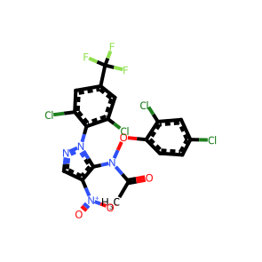 CC(=O)N(Oc1ccc(Cl)cc1Cl)c1c([N+](=O)[O-])cnn1-c1c(Cl)cc(C(F)(F)F)cc1Cl